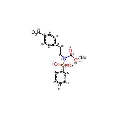 Cc1ccc(S(=O)(=O)N(CCc2ccc([N+](=O)[O-])cc2)C(=O)OC(C)(C)C)cc1